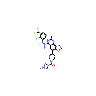 Cc1nc(N[C@H](C)c2cccc(C(F)F)c2F)c2cc(C3=CCN(C(=O)C4CN(C)C4)CC3)c3c(c2n1)CCO3